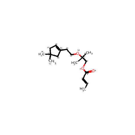 CC=CC(=O)OCC(C)(C)OCCC1=CCC(C)(C)C1